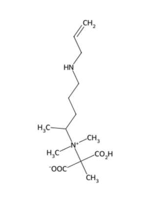 C=CCNCCCC(C)[N+](C)(C)C(C)(C(=O)[O-])C(=O)O